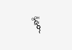 CCCc1ccc(-c2ncc(C(=O)O)cn2)cc1